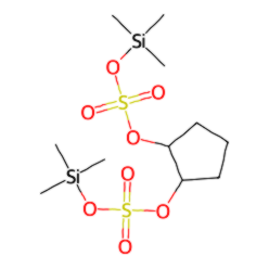 C[Si](C)(C)OS(=O)(=O)OC1CCCC1OS(=O)(=O)O[Si](C)(C)C